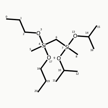 CCCO[Si](C)(C[Si](C)(OC(C)C)OC(C)C)OCCC